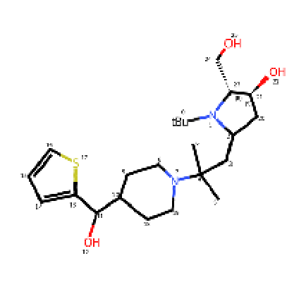 CC(C)(C)N1C(CC(C)(C)N2CCC(C(O)c3cccs3)CC2)C[C@H](O)[C@H]1CO